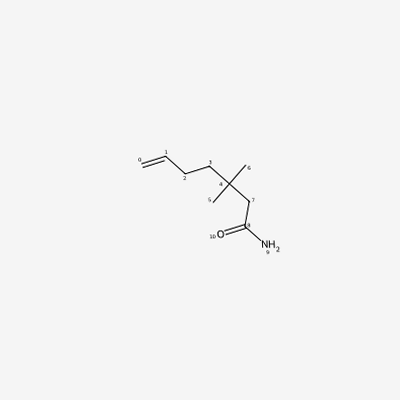 C=CCCC(C)(C)CC(N)=O